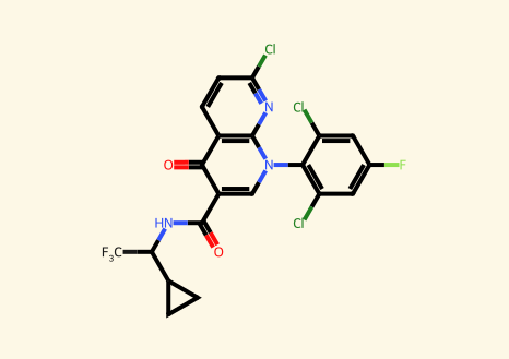 O=C(NC(C1CC1)C(F)(F)F)c1cn(-c2c(Cl)cc(F)cc2Cl)c2nc(Cl)ccc2c1=O